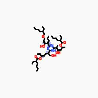 C=C/C(=C\C=C(/CO)C(/N=C/C(=C/CC)C(/O)=C\COCC(CC)CCCC)NC(=N)C(C)/C(O)=C\C(=C)OC(=O)C(CC)CCCC)OC(=O)C(CC)CCCC